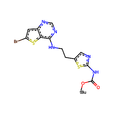 CC(C)(C)OC(=O)Nc1ncc(CCNc2ncnc3cc(Br)sc23)s1